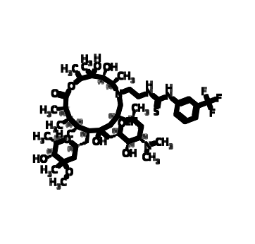 COC1(C)C[C@@H](C[C@H]2[C@H](C)[C@@H](C)[C@@H](C)C(=O)OC(C)C(C)(O)[C@H](O)[C@@H](C)N(CCNC(=S)Nc3cccc(C(F)(F)F)c3)C[C@@H](C)CC2(O)C[C@@H]2O[C@H](C)C[C@H](N(C)C)[C@@H]2O)O[C@@H](C)[C@H]1O